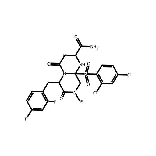 CC(C)N1CC2(S(=O)(=O)c3ccc(Cl)cc3Cl)NC(C(N)=O)[C]C(=O)N2C(Cc2ccc(F)cc2F)C1=O